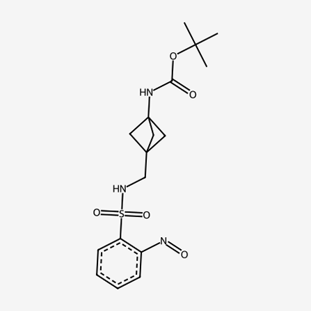 CC(C)(C)OC(=O)NC12CC(CNS(=O)(=O)c3ccccc3N=O)(C1)C2